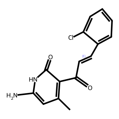 Cc1cc(N)[nH]c(=O)c1C(=O)/C=C/c1ccccc1Cl